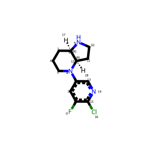 Fc1cc(N2CCC[C@H]3NCC[C@H]32)cnc1Cl